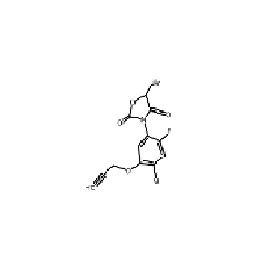 C#CCOc1cc(N2C(=O)OC(C(C)C)C2=O)c(F)cc1Cl